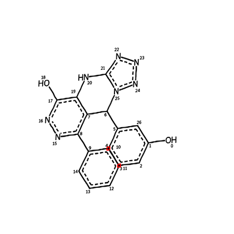 Oc1cccc(C2c3c(-c4ccccc4)nnc(O)c3Nc3nnnn32)c1